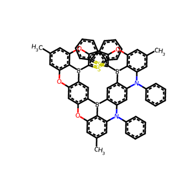 Cc1cc2c3c(c1)Oc1c(sc4ccccc14)B3c1cc3c(cc1O2)Oc1cc(C)cc2c1B3c1cc3c(cc1N2c1ccccc1)N(c1ccccc1)c1cc(C)cc2c1B3c1sc3ccccc3c1O2